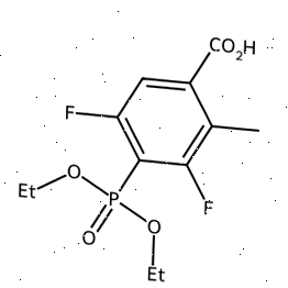 CCOP(=O)(OCC)c1c(F)cc(C(=O)O)c(C)c1F